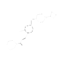 O=C(C=Cc1ccc(OC2CCN(C3CCC3)CC2)cc1Cl)N1CCOCC1